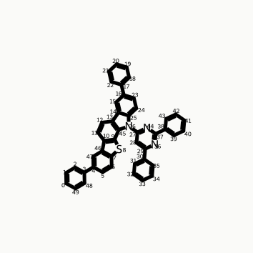 c1ccc(-c2ccc3sc4c(ccc5c6cc(-c7ccccc7)ccc6n(-c6cc(-c7ccccc7)nc(-c7ccccc7)n6)c54)c3c2)cc1